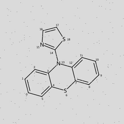 c1ccc2c(c1)Sc1ccccc1N2c1nccs1